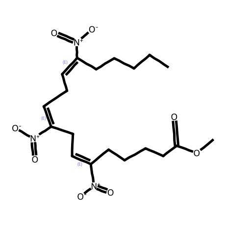 CCCCC/C(=C\C/C=C(\C/C=C(\CCCCC(=O)OC)[N+](=O)[O-])[N+](=O)[O-])[N+](=O)[O-]